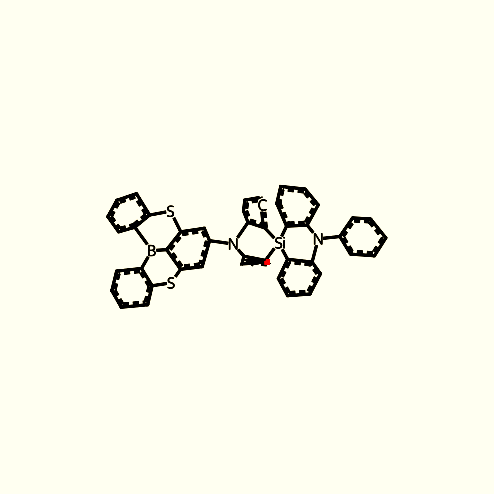 c1ccc(N2c3ccccc3[Si]3(c4ccccc42)c2ccccc2N(c2cc4c5c(c2)Sc2ccccc2B5c2ccccc2S4)c2ccccc23)cc1